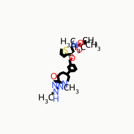 CCNc1ncc2c(n1)N(C)CCC(c1cccc(CO[C@H](CCN(C)C(=O)OC(C)(C)C)c3cccs3)c1)CCC2=O